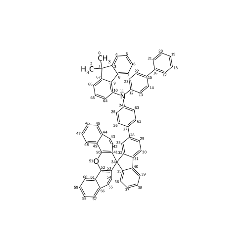 CC1(C)c2ccccc2-c2c(N(c3ccc(-c4ccccc4)cc3)c3ccc(-c4ccc5c(c4)C4(c6ccccc6-5)c5ccc6ccccc6c5Oc5c4ccc4ccccc54)cc3)cccc21